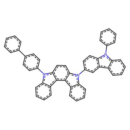 c1ccc(-c2ccc(-n3c4ccccc4c4c5c6ccccc6n(-c6ccc7c(c6)c6ccccc6n7-c6ccccc6)c5ccc43)cc2)cc1